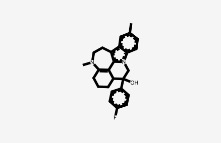 Cc1ccc2c(c1)c1c3n2CC(O)(c2ccc(F)cc2)C2CCCC(=C32)N(C)CC1